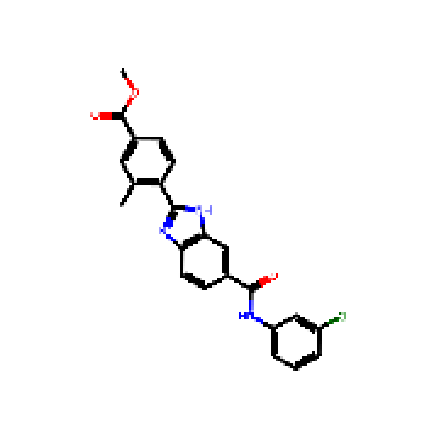 COC(=O)c1ccc(-c2nc3ccc(C(=O)Nc4cccc(Cl)c4)cc3[nH]2)c(C)c1